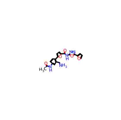 CC(=O)Nc1ccc(-c2ccc(C(=O)Nc3nnc(-c4ccco4)o3)o2)c(CN)c1